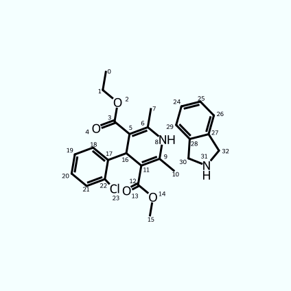 CCOC(=O)C1=C(C)NC(C)=C(C(=O)OC)C1c1ccccc1Cl.c1ccc2c(c1)CNC2